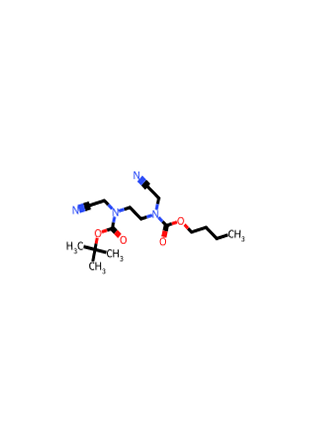 CCCCOC(=O)N(CC#N)CCN(CC#N)C(=O)OC(C)(C)C